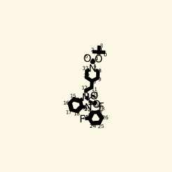 CC(C)(C)OC(=O)N1CCC(CCN2c3ccccc3N(c3c(F)cccc3F)S2(=O)=O)CC1